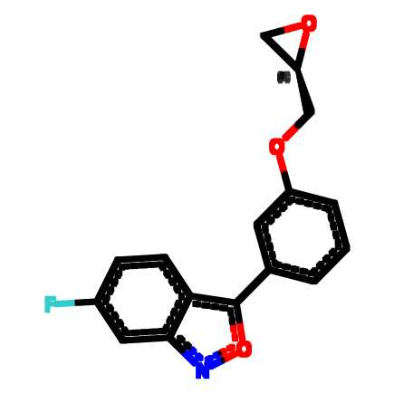 Fc1ccc2c(-c3cccc(OC[C@H]4CO4)c3)onc2c1